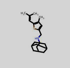 CC(C)=Cc1sc(CNC23CC4CC(CC(C4)C2)C3)cc1C